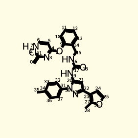 C=C(Cl)/N=C(\C=C/N)Oc1ccccc1CNC(=O)Nc1cc(-c2ccoc2C)nn1-c1ccc(C)cc1